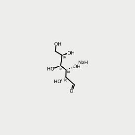 O=C[C@H](O)[C@@H](O)[C@@H](O)[C@H](O)CO.[NaH]